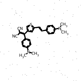 CN(C)c1ccc(/C=C/c2cc(C(=C(C#N)C#N)c3ccc(N(C)C)cc3)cs2)cc1